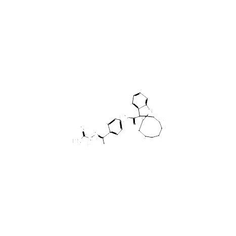 C/C(=N\NC(=N)N)c1ccc(NC(=O)C2c3ccccc3NC23CCCCCCCC3)cc1